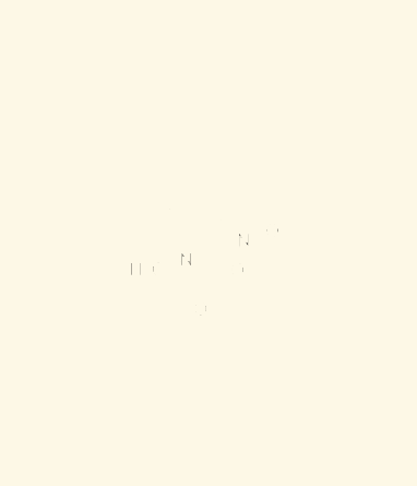 CN(C=O)c1ccccc1[N+](=O)[O-]